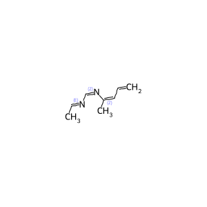 C=C\C=C(C)/N=C\N=C\C